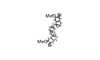 COc1cc2c(cc1Br)CCOC2CN1CCN(CC2OCCc3cc(Br)c(OC)cc32)CC1